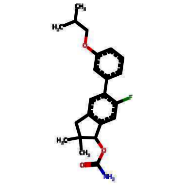 CC(C)COc1cccc(-c2cc3c(cc2F)C(OC(N)=O)C(C)(C)C3)c1